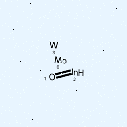 [Mo].[O]=[InH].[W]